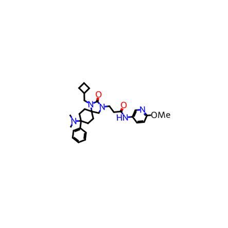 COc1ccc(NC(=O)CCN2CC3(CCC(c4ccccc4)(N(C)C)CC3)N(CC3CCC3)C2=O)cn1